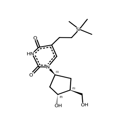 C[Si](C)(C)CCc1cn([C@H]2C[C@@H](CO)[C@H](O)C2)c(=O)[nH]c1=O